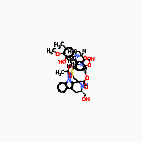 COc1c(C)cc2c(c1O)[C@@H]1[C@@H]3[C@@H]4SC[C@]5(N[C@H](CO)Cc6c5[nH]c5ccccc65)C(=O)O/C=C(\c5c6c(c(C)c(OC(C)=O)c54)OCO6)N3[C@@H](O)[C@@H](C2)N1C